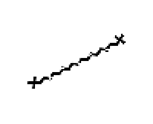 CC(C)(C)CCOCCOCCOCCOCCOCCC(C)(C)C